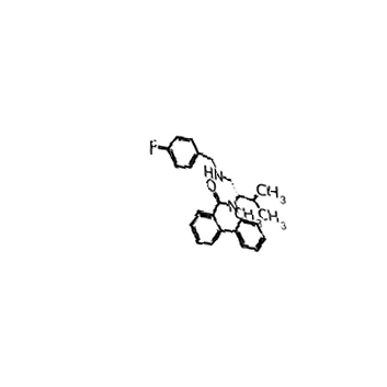 CC(C)[C@@H](CNCc1ccc(F)cc1)N(C)C(=O)c1ccccc1-c1ccccc1